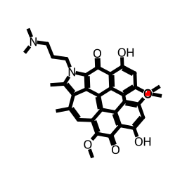 COc1c(=O)c2c(O)cc(OC)c3c4c(OC)cc(O)c5c(=O)c6c7c(c(C)cc1c(c23)c7c54)c(C)n6CCCN(C)C